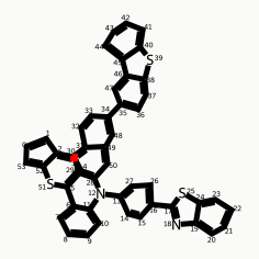 c1cc2ccc(-c3ccccc3N(c3ccc(-c4nc5ccccc5s4)cc3)c3ccc4ccc(-c5ccc6sc7ccccc7c6c5)cc4c3)sc-2c1